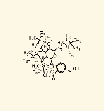 CC(C)(C)[Si](C)(C)OCC1O[C@@H](Oc2ccc(CO)cc2[N+](=O)[O-])[C@@H](O[Si](C)(C)C(C)(C)C)C(O[Si](C)(C)C(C)(C)C)[C@@H]1O[Si](C)(C)C(C)(C)C